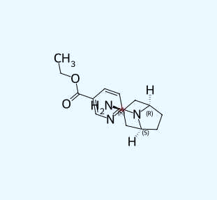 CCOC(=O)c1ccc(N2[C@@H]3CC[C@H]2C[C@@H](N)C3)nc1